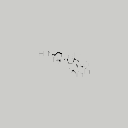 CC[C@]1(COC(=O)C(C)C)O[C@@H](n2ccc(N)nc2=O)CC1OC(=O)C(C)C